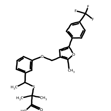 Cc1oc(-c2ccc(C(F)(F)F)cc2)cc1COc1cccc(C(C)SC(C)(C)C(=O)O)c1